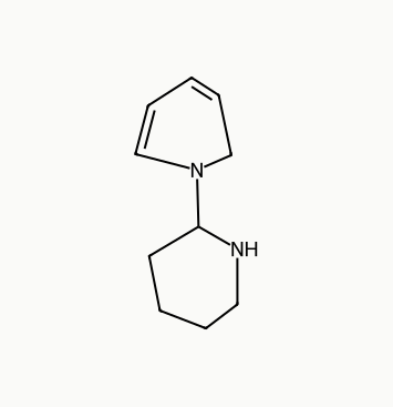 C1=CCN(C2CCCCN2)C=C1